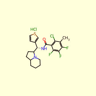 Cc1c(F)c(F)c(F)c(C(=O)N[C@@H](c2ccsc2)C2CCC3CCCCN32)c1Cl.Cl